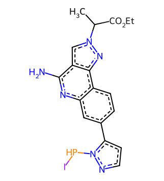 CCOC(=O)C(C)n1cc2c(N)nc3cc(-c4ccnn4PI)ccc3c2n1